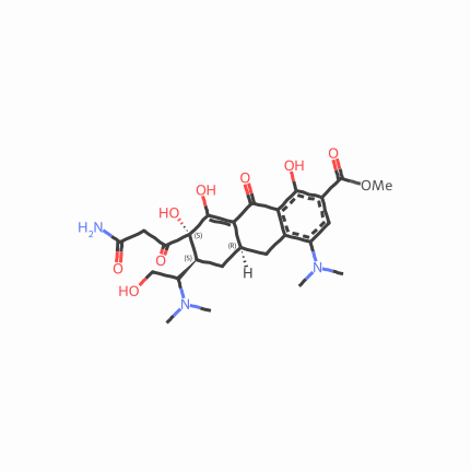 COC(=O)c1cc(N(C)C)c2c(c1O)C(=O)C1=C(O)[C@](O)(C(=O)CC(N)=O)[C@H](C(CO)N(C)C)C[C@@H]1C2